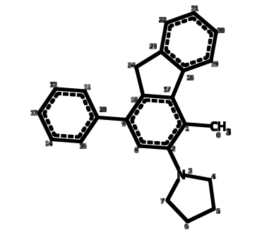 Cc1c(N2CCCC2)cc(-c2ccccc2)c2c1-c1ccccc1C2